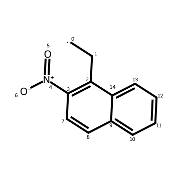 [CH2]Cc1c([N+](=O)[O-])ccc2ccccc12